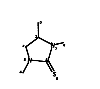 CC1CN(C)C(=S)N1C